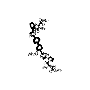 COC(=O)N[C@H](C(=O)N1CCC[C@H]1c1cnc(-c2ccc(-c3ccc(-c4ncc(C5C6CCC(C6)[C@@H]5C(=O)N(NC(=O)OC)C(C)C)[nH]4)cc3)cc2OC)[nH]1)C(C)C